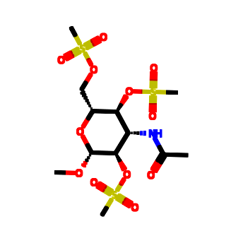 CO[C@@H]1O[C@H](COS(C)(=O)=O)[C@@H](OS(C)(=O)=O)[C@H](NC(C)=O)[C@H]1OS(C)(=O)=O